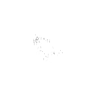 CN(C)C(=O)CO[C@H]1/C=C/CCN(C)C(=O)C[C@](O)(C(=O)NS(=O)(=O)N(C)C)c2ccc3c(c2)N(C[C@@H]2CC[C@H]21)C[C@@]1(CCCc2cc(Cl)ccc21)CO3